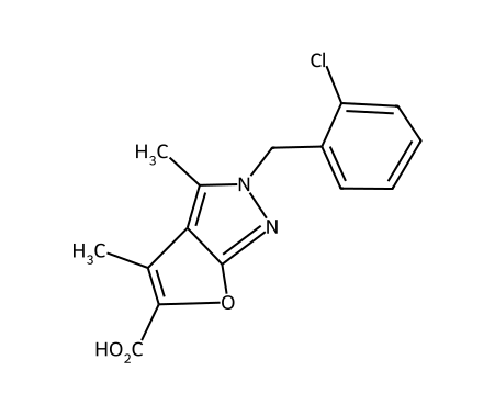 Cc1c(C(=O)O)oc2nn(Cc3ccccc3Cl)c(C)c12